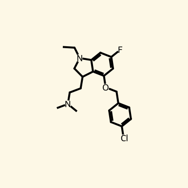 CCN1CC(CCN(C)C)c2c(OCc3ccc(Cl)cc3)cc(F)cc21